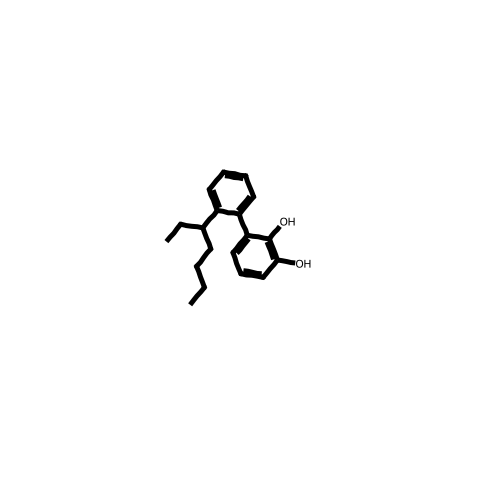 CCCCC(CC)c1ccccc1-c1cccc(O)c1O